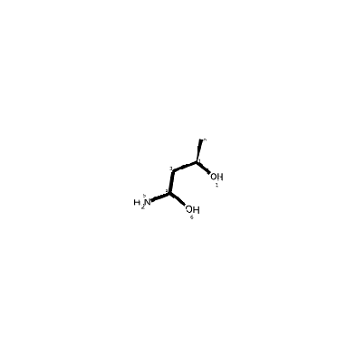 C[C@@H](O)CC(N)O